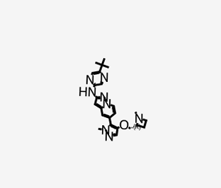 CN1CC[C@@H]1COc1cnn(C)c1-c1ccn2nc(Nc3cnc(C(C)(C)C)cn3)cc2c1